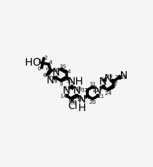 CC(C)(O)Cc1cnc2cc(Nc3ncc(Cl)c(NC4CCN(c5ccc(C#N)nn5)CC4)n3)ccn12